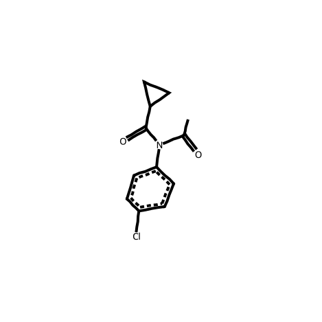 CC(=O)N(C(=O)C1CC1)c1ccc(Cl)cc1